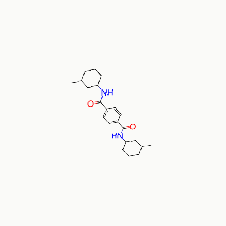 CC1CCCC(NC(=O)c2ccc(C(=O)NC3CCCC(C)C3)cc2)C1